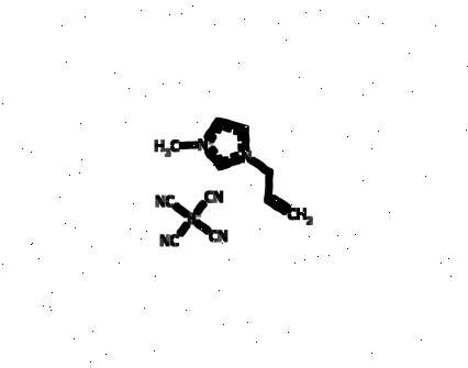 C=CCn1cc[n+](C)c1.N#C[B-](C#N)(C#N)C#N